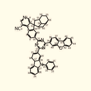 N#Cc1cncc2c1-c1ccc(-c3nc(C4=CCC5C(=C4)N(c4ccccc4)c4ccccc45)nc(-c4ccc5c(c4)oc4ccccc45)n3)cc1C21CC2CCC3CC2C1C3